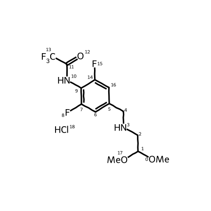 COC(CNCc1cc(F)c(NC(=O)C(F)(F)F)c(F)c1)OC.Cl